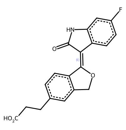 O=C(O)CCc1ccc2c(c1)CO/C2=C1/C(=O)Nc2cc(F)ccc21